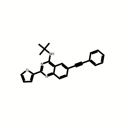 CC(C)(C)Nc1nc(-c2ccco2)nc2ccc(C#Cc3ccccc3)cc12